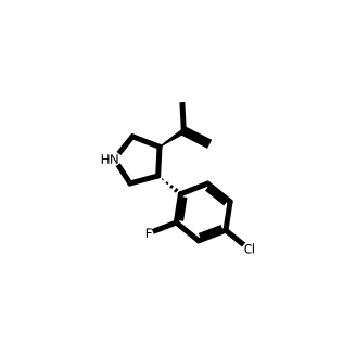 C=C(C)[C@@H]1CNC[C@H]1c1ccc(Cl)cc1F